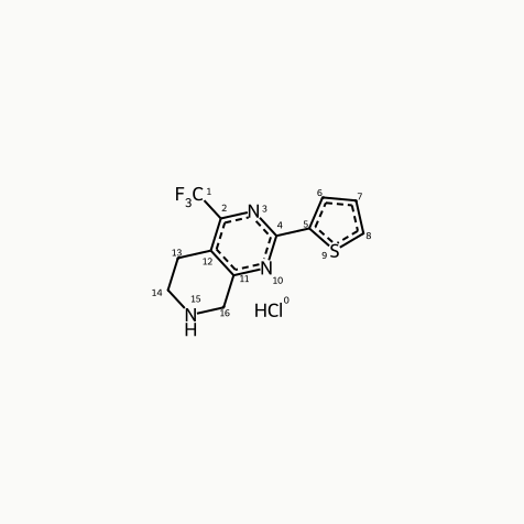 Cl.FC(F)(F)c1nc(-c2cccs2)nc2c1CCNC2